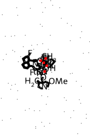 C=C1CCN2C[C@@H](OC)CC12COc1nc2c3c(nc(-c4cccc5ccc(F)c(C#C[Si](C(C)C)(C(C)C)C(C)C)c45)c(F)c3n1)O[C@@H](C)[C@@H]1[C@@H]3CC[C@H](CN21)N3C(=O)OC(C)(C)C